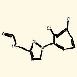 O=CNC1=CCN(c2cccc(Cl)c2Cl)O1